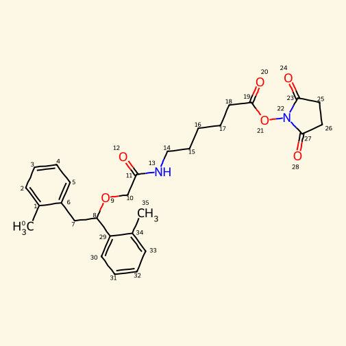 Cc1ccccc1CC(OCC(=O)NCCCCCC(=O)ON1C(=O)CCC1=O)c1ccccc1C